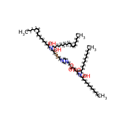 CCCCC/C=C\C/C=C\CCCCCCC(O)CN(CCCSSCCN1CCN(CCOC(=O)CCCCN(CC(O)CCCCCCCCCCCC)CC(O)CCCCCCCCCCCC)CC1)CC(O)CCCCCC/C=C\C/C=C\CCCCC